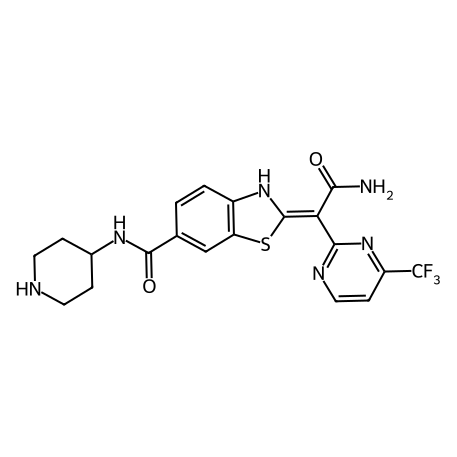 NC(=O)/C(=C1\Nc2ccc(C(=O)NC3CCNCC3)cc2S1)c1nccc(C(F)(F)F)n1